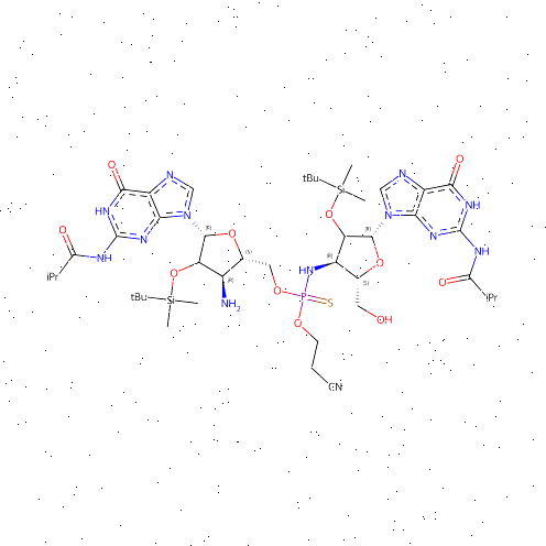 CC(C)C(=O)Nc1nc2c(ncn2[C@@H]2O[C@H](COP(=S)(N[C@H]3C(O[Si](C)(C)C(C)(C)C)[C@H](n4cnc5c(=O)[nH]c(NC(=O)C(C)C)nc54)O[C@@H]3CO)OCCC#N)[C@@H](N)C2O[Si](C)(C)C(C)(C)C)c(=O)[nH]1